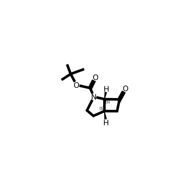 CC(C)(C)OC(=O)N1CC[C@H]2CC(=O)[C@H]21